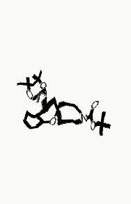 CC(C)(C)OC(=O)N1CCC2(C=C(N3OC(C)(C)C(C)(C)O3)c3ccccc3O2)CC1